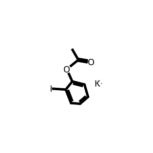 CC(=O)Oc1ccccc1I.[K]